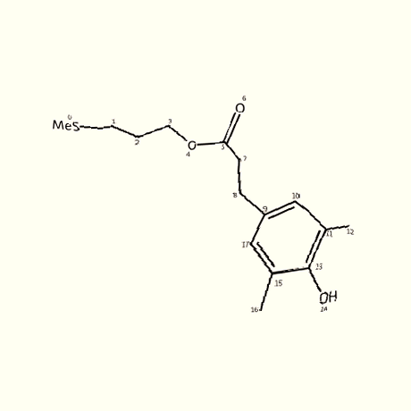 CSCCCOC(=O)CCc1cc(C)c(O)c(C)c1